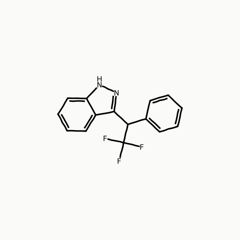 FC(F)(F)C(c1ccccc1)c1n[nH]c2ccccc12